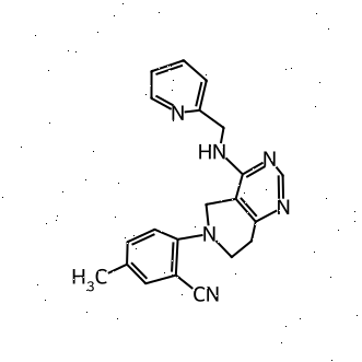 Cc1ccc(N2CCc3ncnc(NCc4ccccn4)c3C2)c(C#N)c1